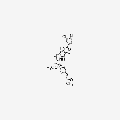 CCC(C(=O)Nc1cc(O)c(NC(=O)c2ccc(Cl)c(Cl)c2)cc1Cl)S(=O)(=O)c1ccc(SCC(C)=O)cc1